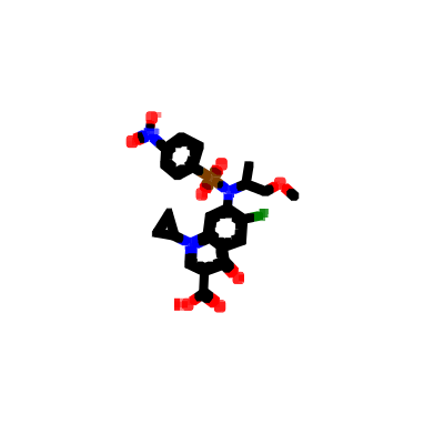 COCC(C)N(c1cc2c(cc1F)c(=O)c(C(=O)O)cn2C1CC1)S(=O)(=O)c1ccc([N+](=O)[O-])cc1